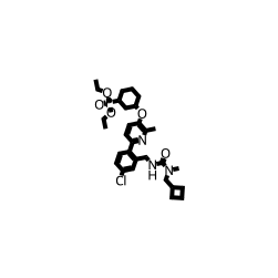 CCOP(=O)(OCC)C1CCCC(Oc2ccc(-c3ccc(Cl)cc3CNC(=O)N(C)CC3CCC3)nc2C)C1